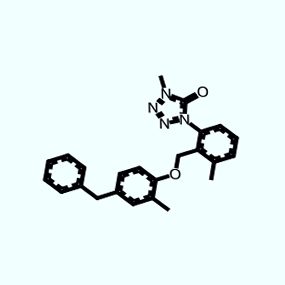 Cc1cc(Cc2ccccc2)ccc1OCc1c(C)cccc1-n1nnn(C)c1=O